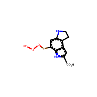 O=C(O)c1cc2c3c(cc(SOOO)c2[nH]1)NCC3